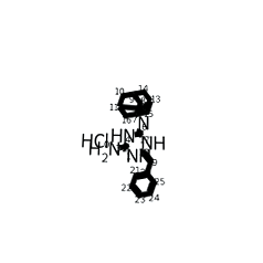 Cl.N=C(N)NC(=NC12CC3CC(CC(C3)C1)C2)NC=Cc1ccccc1